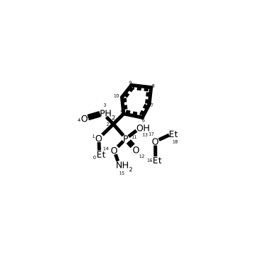 CCOC([PH2]=O)(c1ccccc1)P(=O)(O)ON.CCOCC